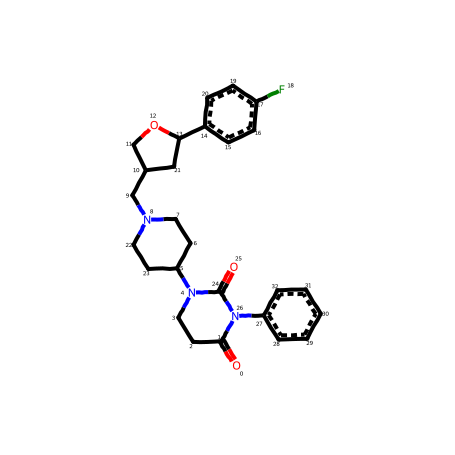 O=C1CCN(C2CCN(CC3COC(c4ccc(F)cc4)C3)CC2)C(=O)N1c1ccccc1